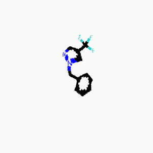 FC(F)(F)c1cnn(Cc2c[c]ccc2)c1